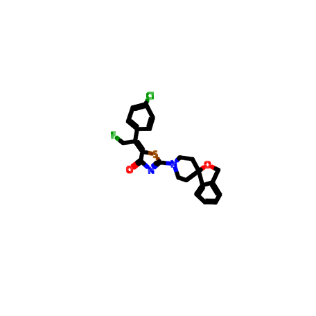 O=C1N=C(N2CCC3(CC2)OCc2ccccc23)S/C1=C(/CF)c1ccc(Cl)cc1